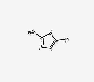 CC(C)COc1ncc(C(C)C)o1